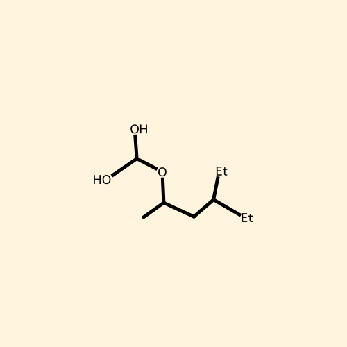 CCC(CC)CC(C)OC(O)O